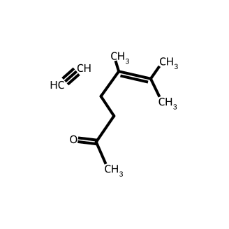 C#C.CC(=O)CCC(C)=C(C)C